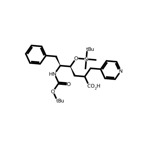 CC(C)(C)OC(=O)N[C@@H](Cc1ccccc1)[C@H](CC(Cc1ccncc1)C(=O)O)O[Si](C)(C)C(C)(C)C